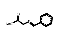 COC(=O)CN=Cc1ccccc1